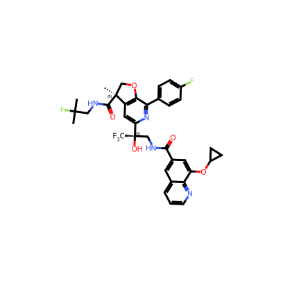 CC(C)(F)CNC(=O)[C@@]1(C)COc2c1cc([C@@](O)(CNC(=O)c1cc(OC3CC3)c3ncccc3c1)C(F)(F)F)nc2-c1ccc(F)cc1